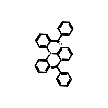 O=C(c1ccccc1)c1ccccc1[S+](c1ccccc1)c1ccccc1C(=O)c1ccccc1